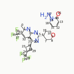 Cc1nc2nc([C@H]3CCO[C@@H](c4ccc(=O)n(N)c4)C3)nc(C34CC(C(F)(F)F)(C3)C4)c2cc1C(F)(F)F